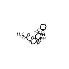 COC(=O)C[C@H]1CC[C@@H]2O[C@@H]3CC2(C[C@H]2OC4(CCCCC4)O[C@@H]32)O1